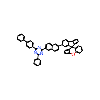 c1ccc(-c2ccc(-c3nc(-c4ccccc4)nc(-c4ccc5cc(-c6ccc7c(c6)C6(c8ccccc8Oc8ccccc86)c6ccccc6-7)ccc5c4)n3)cc2)cc1